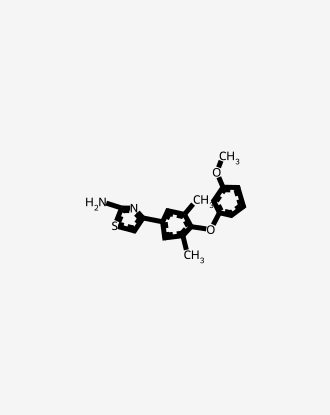 COc1cccc(Oc2c(C)cc(-c3csc(N)n3)cc2C)c1